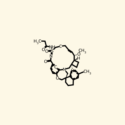 CCC(=O)N[S@]1(=O)=NC(=O)c2ccc3c(c2)N(C[C@@H]2CC[C@H]2[C@@H](OC)/C=C/CCC1)C[C@@]1(CCCc2cc(C)ccc21)CO3